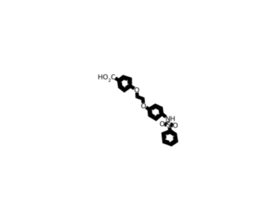 O=C(O)c1ccc(OCCOc2ccc(NS(=O)(=O)c3ccccc3)cc2)cc1